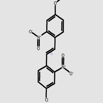 COc1ccc(/C=C/c2ccc(Cl)cc2[N+](=O)[O-])c([N+](=O)[O-])c1